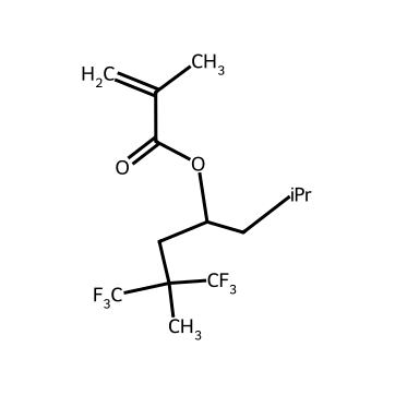 C=C(C)C(=O)OC(CC(C)C)CC(C)(C(F)(F)F)C(F)(F)F